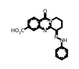 O=C(O)c1ccc2c(=O)n3c(nc2c1)/C(=N/Nc1ccccc1)CCC3